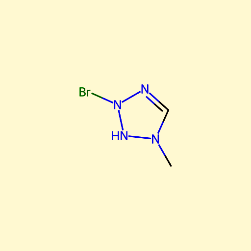 CN1C=NN(Br)N1